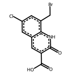 O=C(O)c1cc2cc(Cl)cc(CBr)c2[nH]c1=O